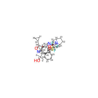 CC(C)(O)c1ccc2nc(N3C4CCC3CC(OCc3c(-c5ccccc5OC(F)(F)F)noc3C3CC3)C4)sc2c1